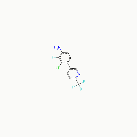 Nc1ccc(-c2ccc(C(F)(F)F)nc2)c(Cl)c1F